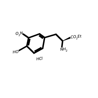 CCOC(=O)[C@@H](N)Cc1ccc(O)c([N+](=O)[O-])c1.Cl